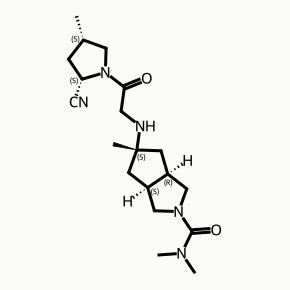 C[C@H]1C[C@@H](C#N)N(C(=O)CN[C@]2(C)C[C@H]3CN(C(=O)N(C)C)C[C@H]3C2)C1